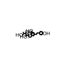 CC(CO)C(O)C(O)C(O)[C@@H](C)Cc1cc(O)cc(/C=C/c2ccc(O)cc2)c1